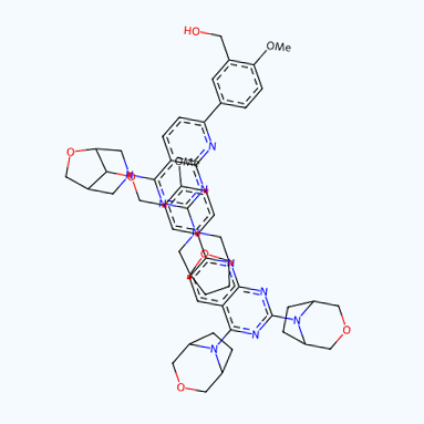 COc1ccc(-c2ccc3c(N4CC5COC(C4)C5OCc4cc(-c5ccc6c(N7C8CCC7COC8)nc(N7C8CCC7COC8)nc6n5)ccc4OC)nc(N4CC5CCC(C4)O5)nc3n2)cc1CO